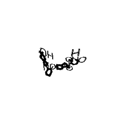 CC1(O)CC2(CN([C@@H]3CCCC[C@@H]3Oc3ccc4c(c3)CN(C3CCC(=O)NC3=O)C4=O)C2)C1